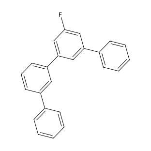 Fc1cc(-c2ccccc2)cc(-c2cccc(-c3ccccc3)c2)c1